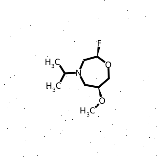 CO[C@@H]1CO[C@H](F)CN(C(C)C)C1